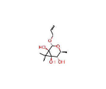 C=CCO[C@@H]1O[C@@H](C)[C@H](O)[C@]2(O)C(C)(C)[C@]12O